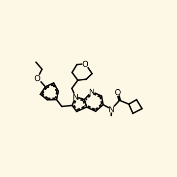 CCOc1ccc(Cc2cc3cc(N(C)C(=O)C4CCC4)cnc3n2CC2CCOCC2)cc1